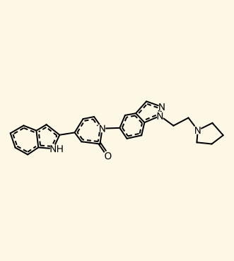 O=c1cc(-c2cc3ccccc3[nH]2)ccn1-c1ccc2c(cnn2CCN2CCCC2)c1